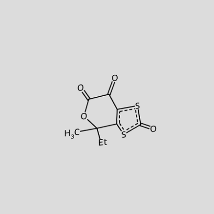 CCC1(C)OC(=O)C(=O)c2sc(=O)sc21